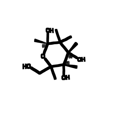 CC1(C)[C@](C)(O)[C@](C)(O)C(C)(CO)O[C@@]1(C)O